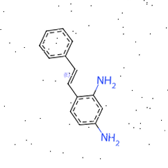 Nc1ccc(/C=C/c2ccccc2)c(N)c1